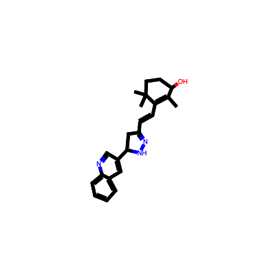 CC1=C(/C=C/C2=NNC(c3cnc4ccccc4c3)C2)C(C)(C)CCC1O